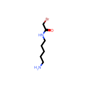 NCCCCCNC(=O)CBr